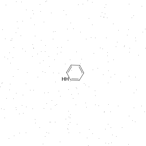 [HH].c1ccccc1